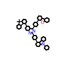 CC1(C)c2ccccc2-c2c(-c3ccc4nc(-c5ccc(-c6cccc7c6c6ccccc6n7-c6ccccc6)cc5)nc(-c5ccc(-c6cccc7c6oc6ccccc67)cc5)c4c3)cccc21